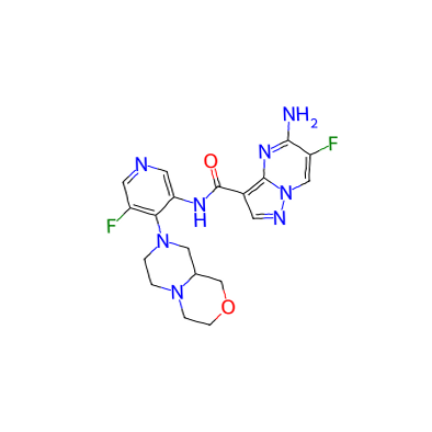 Nc1nc2c(C(=O)Nc3cncc(F)c3N3CCN4CCOCC4C3)cnn2cc1F